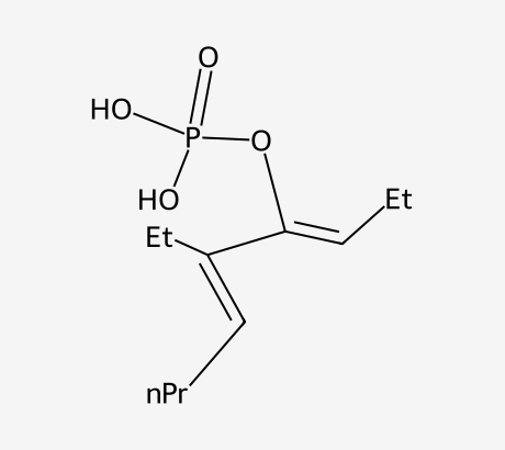 CCC=C(OP(=O)(O)O)C(=CCCC)CC